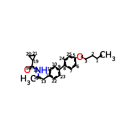 CCCCOc1ccc(-c2ccc(CC(C)NC(=O)C3CC3)cc2)cc1